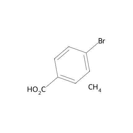 C.O=C(O)c1ccc(Br)cc1